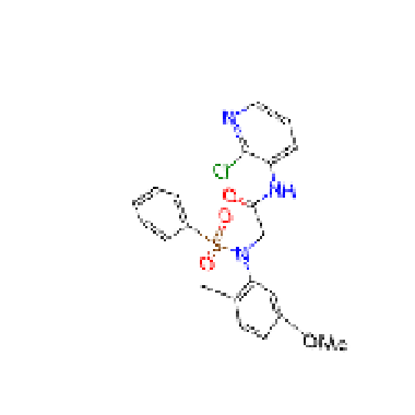 COc1ccc(C)c(N(CC(=O)Nc2cccnc2Cl)S(=O)(=O)c2ccccc2)c1